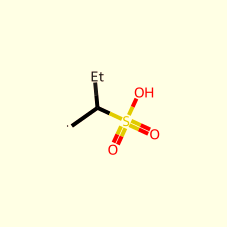 [CH2]CC([CH2])S(=O)(=O)O